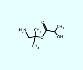 CC(O)C(=O)OC(C)(C)CN